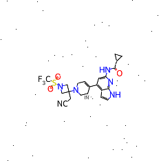 C[C@@H]1CN(C2(CC#N)CN(S(=O)(=O)C(F)(F)F)C2)CC=C1c1cc(NC(=O)C2CC2)nc2[nH]ccc12